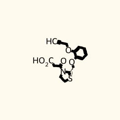 C#CCOc1ccccc1OC[C@@H]1SCCN1C(=O)CC(=O)O